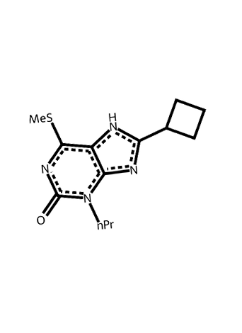 CCCn1c(=O)nc(SC)c2[nH]c(C3CCC3)nc21